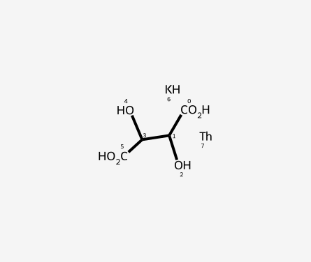 O=C(O)C(O)C(O)C(=O)O.[KH].[Th]